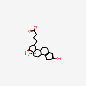 C[C@]12CCC3c4ccc(O)cc4CCC3C1C(CCCC(=O)O)CC2=O